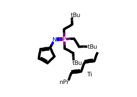 CC(C)(C)CCP(CCC(C)(C)C)(CCC(C)(C)C)=NC1=CC=CC1.CC=CC=CCCC.[Ti]